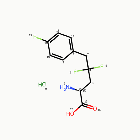 Cl.N[C@@H](CC(F)(F)Cc1ccc(F)cc1)C(=O)O